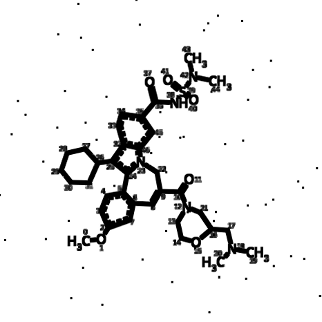 COc1ccc2c(c1)C=C(C(=O)N1CCOC(CN(C)C)C1)Cn1c-2c(C2CCCCC2)c2ccc(C(=O)NS(=O)(=O)N(C)C)cc21